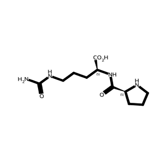 NC(=O)NCCC[C@H](NC(=O)[C@@H]1CCCN1)C(=O)O